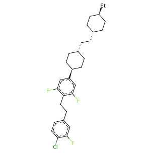 CC[C@H]1CC[C@H](CC[C@H]2CC[C@H](c3cc(F)c(CCc4ccc(Cl)c(F)c4)c(F)c3)CC2)CC1